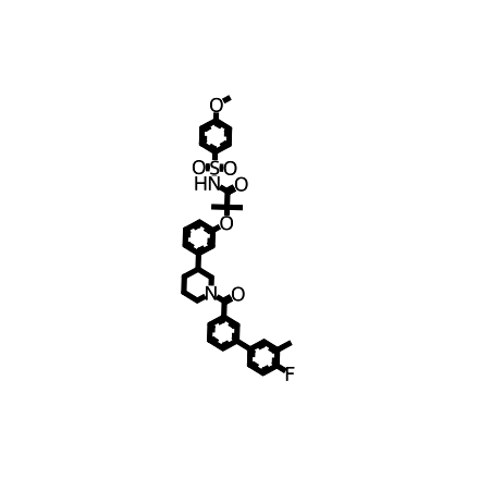 COc1ccc(S(=O)(=O)NC(=O)C(C)(C)Oc2cccc(C3CCCN(C(=O)c4cccc(-c5ccc(F)c(C)c5)c4)C3)c2)cc1